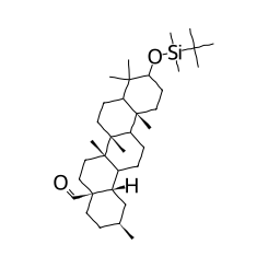 C[C@H]1CC[C@]2(C=O)CC[C@@]3(C)C(CCC4[C@@]5(C)CCC(O[Si](C)(C)C(C)(C)C)C(C)(C)C5CC[C@]43C)[C@@H]2C1